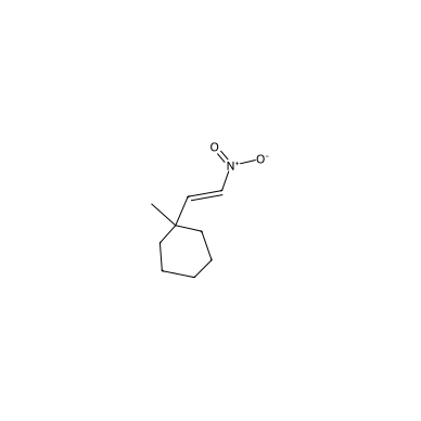 CC1(C=C[N+](=O)[O-])CCCCC1